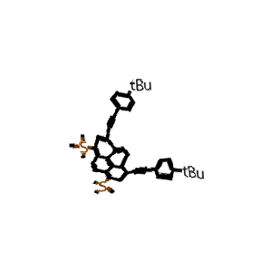 CC(C)(C)c1ccc(C#Cc2cc(S(C)(C)C)c3ccc4c(S(C)(C)C)cc(C#Cc5ccc(C(C)(C)C)cc5)c5ccc2c3c54)cc1